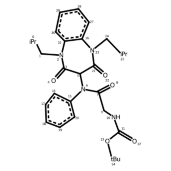 CC(C)CN1C(=O)C(N(C(=O)CNC(=O)OC(C)(C)C)c2ccccc2)C(=O)N(CC(C)C)c2ccccc21